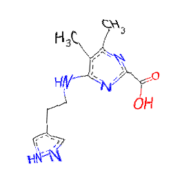 Cc1nc(C(=O)O)nc(NCCc2cn[nH]c2)c1C